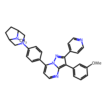 COc1cccc(-c2c(-c3ccncc3)nn3c(-c4ccc(N5CC6CCC(C5)N6C)cc4)ccnc23)c1